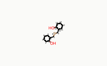 Oc1ccccc1CSCc1ccccc1O